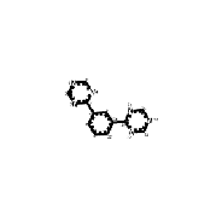 c1cc(-c2ncncn2)cc(-c2ncncn2)c1